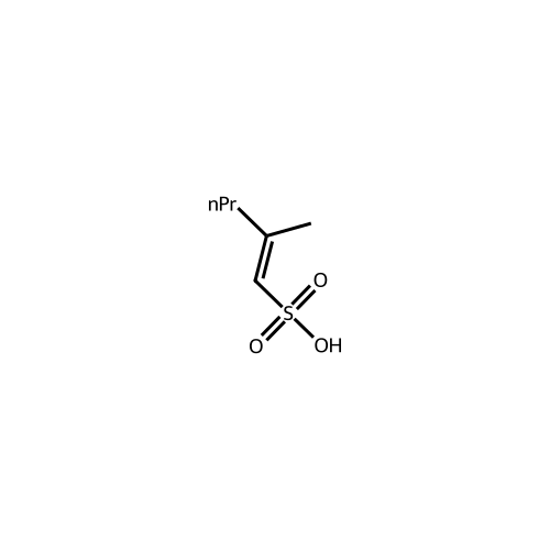 CCC/C(C)=C/S(=O)(=O)O